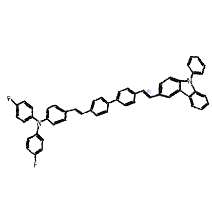 Fc1ccc(N(c2ccc(F)cc2)c2ccc(C=Cc3ccc(-c4ccc(/C=C/c5ccc6c(c5)c5ccccc5n6-c5ccccc5)cc4)cc3)cc2)cc1